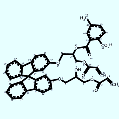 C=CC(=O)OCC(O)COc1ccc2c(c1)C1(c3ccccc3-2)c2ccccc2-c2ccc(OCC(COC(=O)C=C)OC(=O)c3cc(C)ccc3C(=O)O)cc21